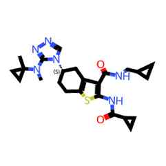 CN(c1nncn1[C@H]1CCc2sc(NC(=O)C3CC3)c(C(=O)NCC3CC3)c2C1)C1(C)CC1